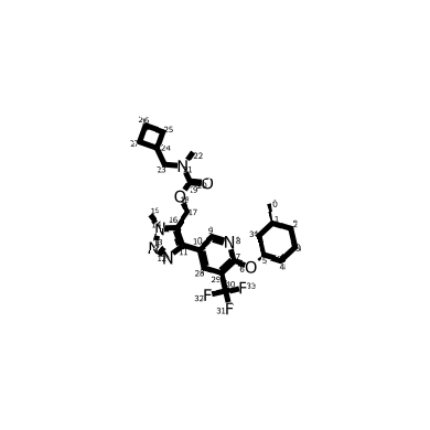 C[C@H]1CCC[C@H](Oc2ncc(-c3nnn(C)c3COC(=O)N(C)CC3CCC3)cc2C(F)(F)F)C1